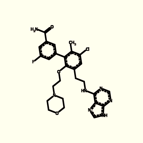 Cc1c(Cl)cc(CCNc2ncnc3[nH]cnc23)c(OCCN2CCOCC2)c1-c1cc(F)cc(C(N)=O)c1